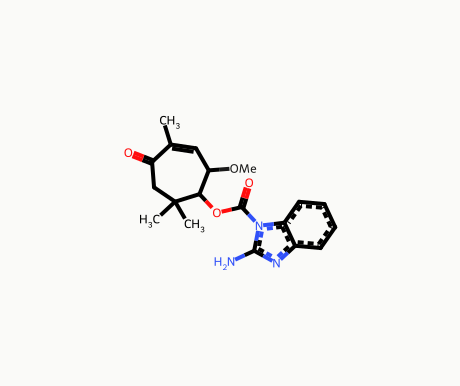 COC1C=C(C)C(=O)CC(C)(C)C1OC(=O)n1c(N)nc2ccccc21